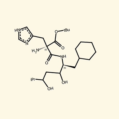 CC(C)C(O)CC(O)[C@H](CC1CCCCC1)NC(=O)[C@@](N)(Cc1c[nH]cn1)C(=O)OC(C)(C)C